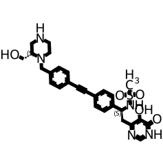 CS(=O)(=O)N[C@@H](Cc1nc[nH]c(=O)c1O)c1ccc(C#Cc2ccc(CN3CCNC[C@H]3CO)cc2)cc1